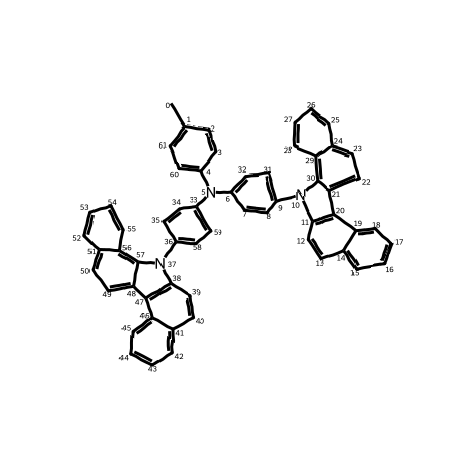 Cc1ccc(N(c2ccc(-n3c4ccc5ccccc5c4c4ccc5ccccc5c43)cc2)c2ccc(-n3c4ccc5ccccc5c4c4ccc5ccccc5c43)cc2)cc1